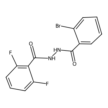 O=C(NNC(=O)c1c(F)cccc1F)c1ccccc1Br